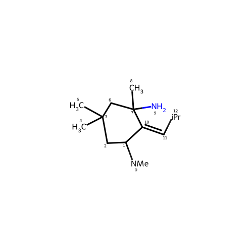 CNC1CC(C)(C)CC(C)(N)C1=CC(C)C